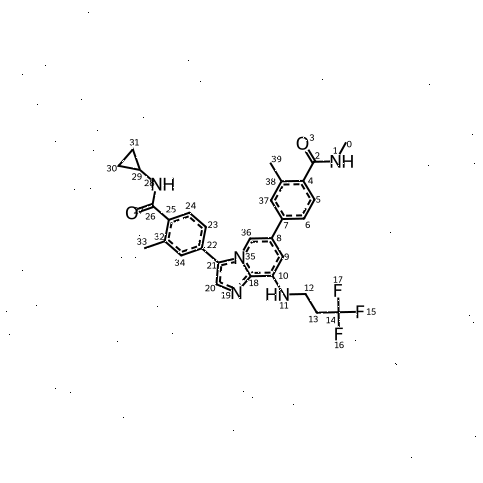 CNC(=O)c1ccc(-c2cc(NCCC(F)(F)F)c3ncc(-c4ccc(C(=O)NC5CC5)c(C)c4)n3c2)cc1C